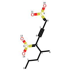 CCCC(C)C(C#CC=S(=O)=O)=S(=O)=O